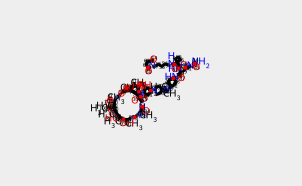 CO[C@H]1/C=C/O[C@@]2(C)Oc3c(C)c(O)c4c(=O)c(c5oc6cc(N7CCC([N+](C)(C)Cc8ccc(NC(=O)[C@H](CCCNC(N)=O)NC(=O)C9(C(=O)NCCCCCN%10C(=O)C=CC%10=O)CCC9)cc8)CC7)cc(O)c6nc-5c4c3C2=O)NC(=O)/C(C)=C\C=C\[C@H](C)[C@H](O)[C@@H](C)[C@@H](O)[C@@H](C)[C@H](OC(C)=O)[C@@H]1C